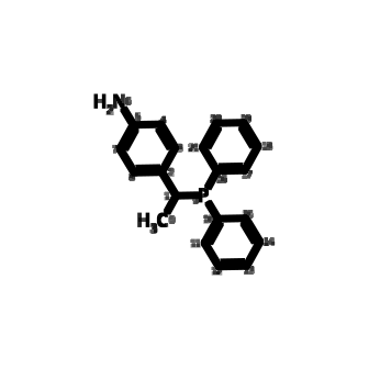 CC(c1ccc(N)cc1)P(c1ccccc1)c1ccccc1